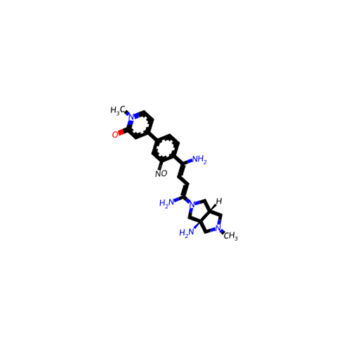 CN1C[C@H]2CN(/C(N)=C/C=C(\N)c3ccc(-c4ccn(C)c(=O)c4)cc3N=O)C[C@@]2(N)C1